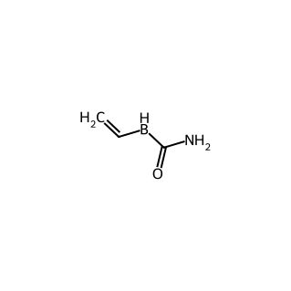 C=CBC(N)=O